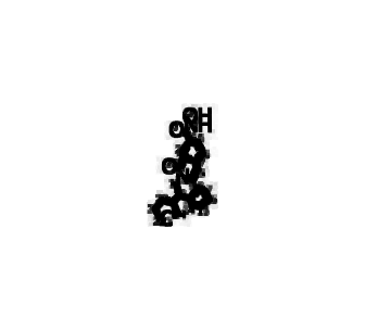 O=C(NO)c1ccc2ccn(CC(c3ccccc3)C3CCCCC3)c(=O)c2c1